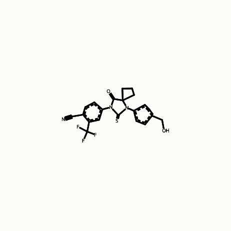 N#Cc1ccc(N2C(=O)C3(CCC3)N(c3ccc(CO)cc3)C2=S)cc1C(F)(F)F